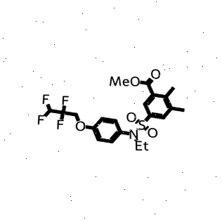 CCN(c1ccc(OCC(F)(F)C(F)F)cc1)S(=O)(=O)c1cc(C)c(C)c(C(=O)OC)c1